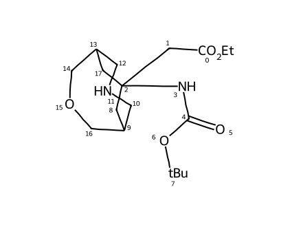 CCOC(=O)CC1(NC(=O)OC(C)(C)C)CC2CNCC(COC2)C1